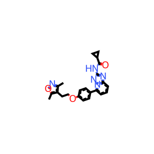 Cc1noc(C)c1CCOc1ccc(-c2cccc3nc(NC(=O)C4CC4)nn23)cc1